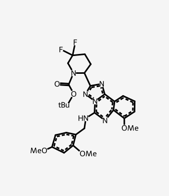 COc1ccc(CNc2nc3c(OC)cccc3c3nc(C4CCC(F)(F)CN4C(=O)OC(C)(C)C)nn23)c(OC)c1